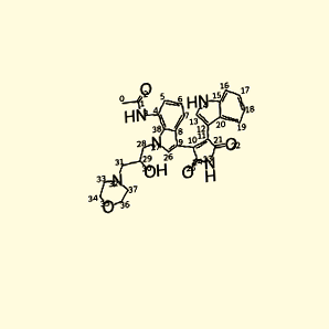 CC(=O)Nc1cccc2c(C3=C(c4c[nH]c5ccccc45)C(=O)NC3=O)cn(CC(O)CN3CCOCC3)c12